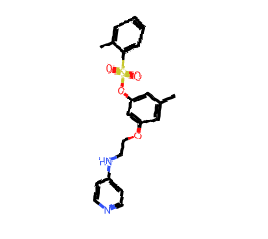 Cc1cc(OCCNc2ccncc2)cc(OS(=O)(=O)c2ccccc2C)c1